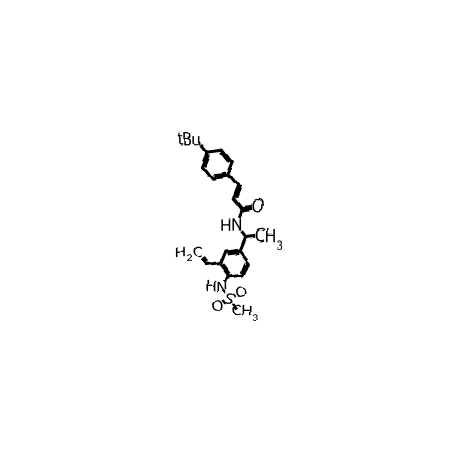 C=Cc1cc(C(C)NC(=O)/C=C/c2ccc(C(C)(C)C)cc2)ccc1NS(C)(=O)=O